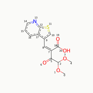 COC(OC)C(=O)C(=Cc1csc2ncccc12)C(=O)O